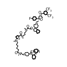 CN(CCN1CCC(N(C(=O)O)c2ccccc2-c2ccccc2)CC1)C(=O)CCCCCN(C)c1ccc(C(=O)N(C)CCCN(C)C(=O)CO[C@H]2Cc3ccccc3C23CCN(CC[C@]2(c4ccc(F)cc4)CN(C(=O)c4cc(C(F)(F)F)cc(C(F)(F)F)c4)CO2)CC3)s1